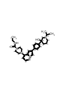 CCNC(=O)N1CCN(c2ccnn3cc(-c4ccc(C5(O)CCCN(C(C)C)C5)cc4)cc23)CC1